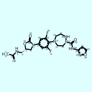 CC(=S)NC[C@H]1CN(c2cc(F)c(N3CCNN(C(=O)Nc4ccon4)CC3)c(F)c2)C(=O)O1